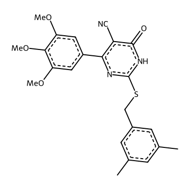 COc1cc(-c2nc(SCc3cc(C)cc(C)c3)[nH]c(=O)c2C#N)cc(OC)c1OC